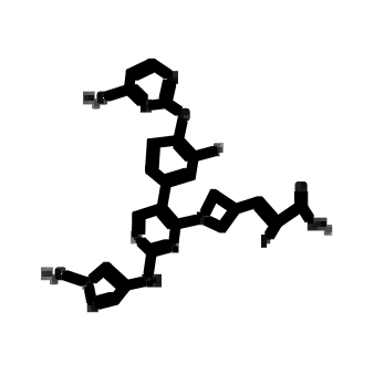 Cc1ccnc(Oc2ccc(-c3cnc(Nc4cnn(C)c4)nc3N3CC(C=C(F)C(N)=O)C3)cc2F)n1